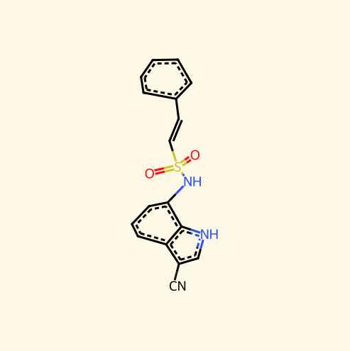 N#Cc1c[nH]c2c(NS(=O)(=O)/C=C/c3ccccc3)cccc12